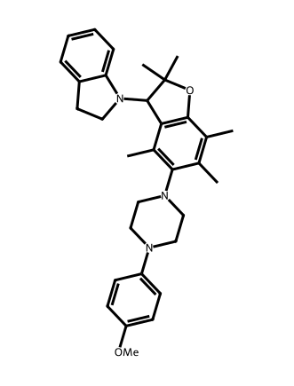 COc1ccc(N2CCN(c3c(C)c(C)c4c(c3C)C(N3CCc5ccccc53)C(C)(C)O4)CC2)cc1